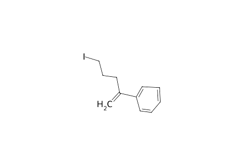 C=C(CCCI)c1ccccc1